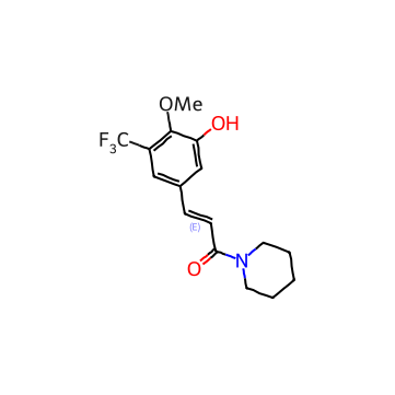 COc1c(O)cc(/C=C/C(=O)N2CCCCC2)cc1C(F)(F)F